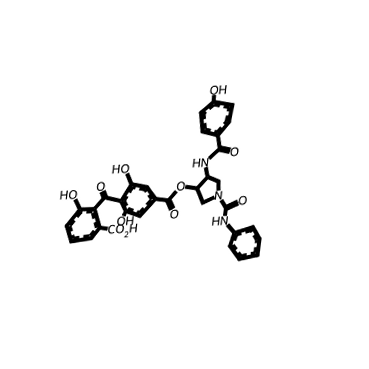 O=C(NC1CN(C(=O)Nc2ccccc2)CC1OC(=O)c1cc(O)c(C(=O)c2c(O)cccc2C(=O)O)c(O)c1)c1ccc(O)cc1